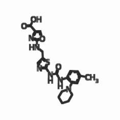 Cc1ccc(NC(=O)Nc2ncc(CNc3nc(C(=O)O)co3)s2)c(N2CCCCC2)c1